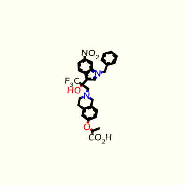 CC(Oc1ccc2c(c1)CCN(CC(O)(c1cn(Cc3ccccc3)c3cc([N+](=O)[O-])ccc13)C(F)(F)F)C2)C(=O)O